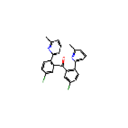 Cc1cccc(-c2ccc(F)cc2C(=O)c2cc(F)ccc2-c2cccc(C)n2)n1